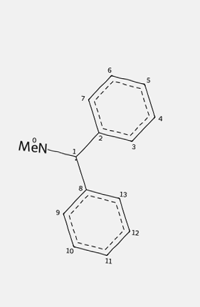 CN[C](c1ccccc1)c1ccccc1